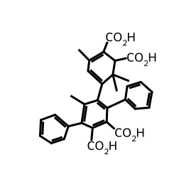 CC1=C(C(=O)O)C(C(=O)O)C(C)(C)C(c2c(C)c(-c3ccccc3)c(C(=O)O)c(C(=O)O)c2-c2ccccc2)=C1